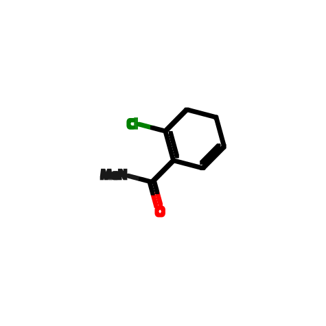 CNC(=O)C1=C(Cl)CCC=C1